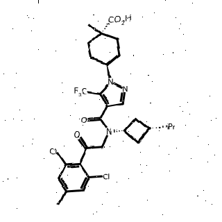 Cc1cc(Cl)c(C(=O)CN(C(=O)c2cnn([C@H]3CC[C@](C)(C(=O)O)CC3)c2C(F)(F)F)[C@H]2C[C@@H](C(C)C)C2)c(Cl)c1